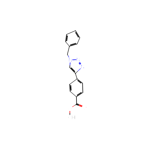 COC(=O)c1ccc(-c2cn(Cc3ccccc3)nn2)cc1